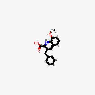 COc1cccc2cc(Cc3ccccc3)c(C(=O)O)nc12